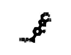 C=Cn1cc(-c2ccc(C3C[C@@H]3C(=O)O)cc2F)nc1CC